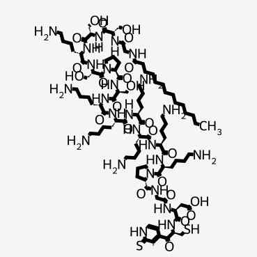 CCCCCCCCCCCCCC(=O)NCC(=O)N[C@@H](CO)C(=O)N[C@@H](CO)C(=O)N[C@@H](CCCCN)C(=O)N[C@@H](CO)C(=O)N1CCC[C@H]1C(=O)N[C@@H](CO)C(=O)N[C@@H](CCCCN)C(=O)N[C@@H](CCCCN)C(=O)N[C@@H](CCCCN)C(=O)N[C@@H](CCCCN)C(=O)N[C@@H](CCCCN)C(=O)N[C@@H](CCCCN)C(=O)N1CCC[C@H]1C(=O)NCC(=O)N[C@@H](CC(=O)O)C(=O)N[C@@H](CS)C(=O)c1[c]c(=S)[nH]cc1